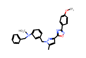 Cc1cc(-c2nc(-c3ccc(OC(F)(F)F)cc3)no2)nn1Cc1cccc(N(Cc2ccccc2)C(=O)O)c1